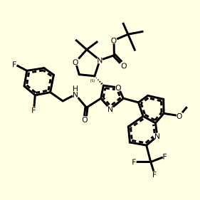 COc1ccc(-c2nc(C(=O)NCc3ccc(F)cc3F)c([C@@H]3COC(C)(C)N3C(=O)OC(C)(C)C)o2)c2ccc(C(F)(F)F)nc12